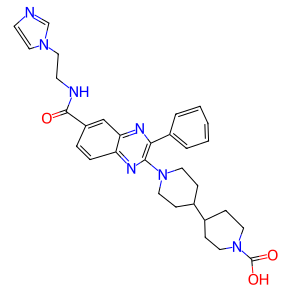 O=C(NCCn1ccnc1)c1ccc2nc(N3CCC(C4CCN(C(=O)O)CC4)CC3)c(-c3ccccc3)nc2c1